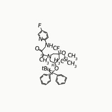 C[C@@H](C(=O)Nc1ccc(F)cn1)N1C[C@H](O[Si](c2ccccc2)(c2ccccc2)C(C)(C)C)CC(O[Si](C)(C)C)(C(F)(F)F)C1